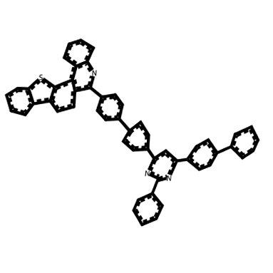 c1ccc(-c2ccc(-c3cc(-c4ccc(-c5ccc(-c6nc7ccccc7c7c6ccc6c8ccccc8sc67)cc5)cc4)nc(-c4ccccc4)n3)cc2)cc1